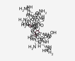 C[C@@H](O)[C@H](NC(=O)[C@H](CCN)NC(=O)[C@H](CCCNC(=N)N)NC(=O)[C@H](CC(N)=O)NC(=O)[C@H](CS)NC(=O)[C@@H](N)Cc1ccc(O)cc1)C(=O)N[C@H](CCN)C(=O)N[C@@H](CCCCN)C(=O)N[C@@H](CS)C(=O)N[C@@H](CCN)C(=O)N[C@@H](CCCNC(=N)N)C(=O)N[C@@H](Cc1ccc(O)cc1)C(=O)O